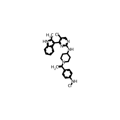 C=C(c1ccc(NCl)cc1)N1CCC(Nc2ncc(Cl)c(-c3c(C)[nH]c4ccccc34)n2)CC1